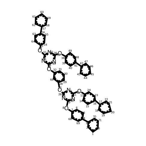 c1ccc(-c2ccc(Oc3nc(Oc4ccc(-c5ccccc5)cc4)nc(Oc4cccc(Oc5nc(Oc6ccc(-c7ccccc7)cc6)nc(Oc6ccc(-c7ccccc7)cc6)n5)c4)n3)cc2)cc1